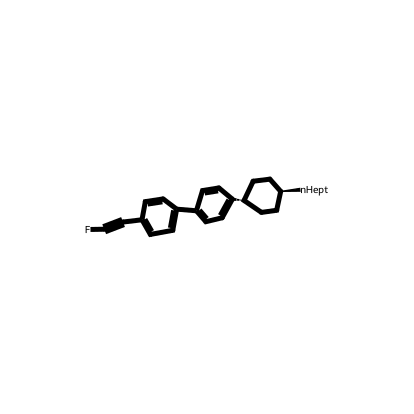 CCCCCCC[C@H]1CC[C@H](c2ccc(-c3ccc(C#CF)cc3)cc2)CC1